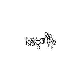 O=C1C2C3C=CC(C4C(=O)[N+]([O-])(OS(=O)(=O)C(F)(F)F)CC34)C2C(=O)N1OS(=O)(=O)C(F)(F)F